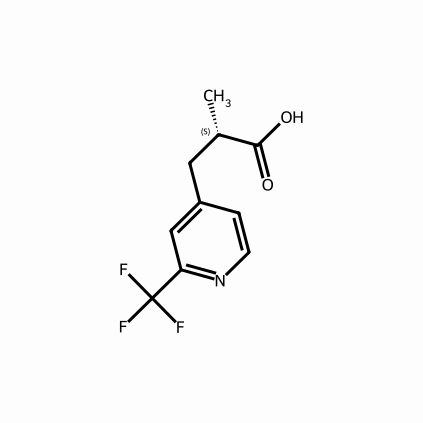 C[C@@H](Cc1ccnc(C(F)(F)F)c1)C(=O)O